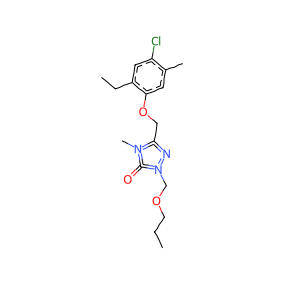 CCCOCn1nc(COc2cc(C)c(Cl)cc2CC)n(C)c1=O